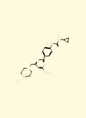 CN1CCN(Cc2cc(N)nc(-c3ccc(NC(=O)NC4CC4)cc3)n2)CC1